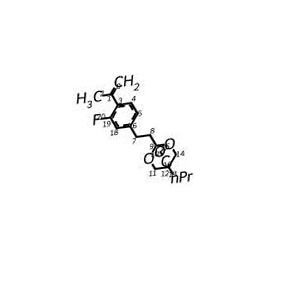 C=C(C)c1ccc(CCC23OCC(CCC)(CO2)CO3)cc1F